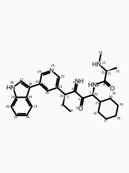 CC[C@H](C(=N)C(=O)[C@@H](NC(=O)[C@H](C)NC)C1CCCCC1)c1cncc(-c2c[nH]c3ccccc23)c1